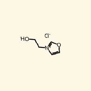 OCC[n+]1ccoc1.[Cl-]